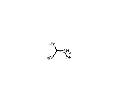 CCCC(CCC)[SiH2]O